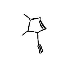 C#CC1C=NN(C)C1C